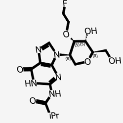 CC(C)C(=O)Nc1nc2c(ncn2[C@@H]2CO[C@H](CO)[C@@H](O)[C@H]2OCCF)c(=O)[nH]1